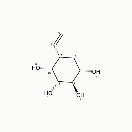 C=C[C@@H]1C[C@H](O)[C@@H](O)[C@H](O)[C@@H]1O